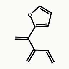 C=CC(=C)C(=C)c1ccco1